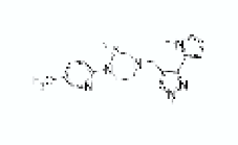 C[C@@H]1CN(Cc2cn(C)nc2-c2cccn2C)CCN1c1ccc(C(F)(F)F)cn1